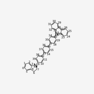 c1ccc2c(c1)CCN2c1ccc(-c2ccc(-c3ccc(-n4c5ccccc5c5ccccc54)cc3)cc2)cc1